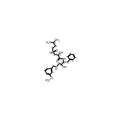 COc1cccc(CNC[C@H](O)[C@H](Cc2ccccc2)NC(=O)C(O)CS(=O)(=O)CCC(C)C)c1